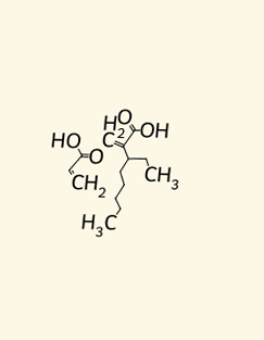 C=C(C(=O)O)C(CC)CCCCC.C=CC(=O)O